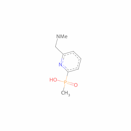 CNCc1cccc(P(C)(=O)O)n1